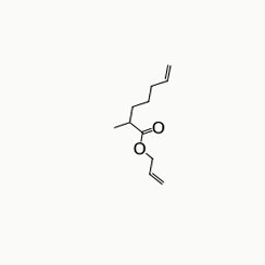 C=CCCCC(C)C(=O)OCC=C